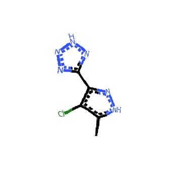 Cc1[nH]nc(-c2nn[nH]n2)c1Cl